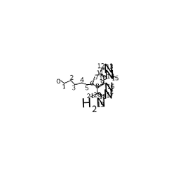 CCCCCCC(C)c1c(-c2ccnn2C)nnc(N)c1C